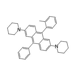 Cc1ccccc1-c1c2ccc(N3CCCCC3)cc2c(-c2ccccc2)c2ccc(N3CCCCC3)cc12